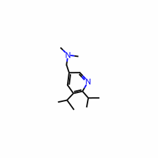 CC(C)c1cc(CN(C)C)cnc1C(C)C